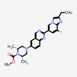 CC(=O)OCc1cn2cc(-c3ncc4cc(N5C[C@@H](C)N(C(=O)OC(C)(C)C)[C@@H](C)C5)ccc4n3)cc(F)c2n1